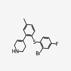 Cc1ccc(Sc2ccc(F)cc2Br)c(C2=CCNCC2)c1